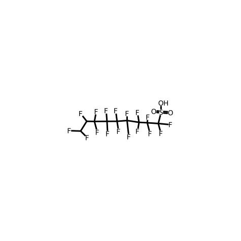 O=S(=O)(O)C(F)(F)C(F)(F)C(F)(F)C(F)(F)C(F)(F)C(F)(F)C(F)(F)C(F)C(F)F